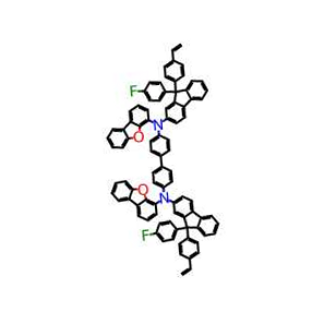 C=Cc1ccc(C2(c3ccc(F)cc3)c3ccccc3-c3ccc(N(c4ccc(-c5ccc(N(c6ccc7c(c6)C(c6ccc(F)cc6)(c6ccc(C=C)cc6)c6ccccc6-7)c6cccc7c6oc6ccccc67)cc5)cc4)c4cccc5c4oc4ccccc45)cc32)cc1